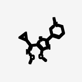 CO/N=C(\c1sc(C2=CCCN(C)C2)nc1OC)C1CC1